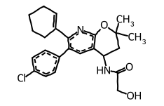 CC1(C)CC(NC(=O)CO)c2cc(-c3ccc(Cl)cc3)c(C3=CCCCC3)nc2O1